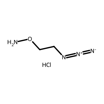 Cl.[N-]=[N+]=NCCON